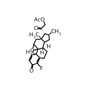 CC(=O)OCC(=O)[C@@H]1[C@@H](C)C[C@H]2[C@@H]3CCC4=C(F)C(=O)C=C[C@]4(C)C34OC4C[C@]12C